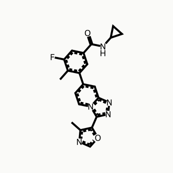 Cc1ncoc1-c1nnc2cc(-c3cc(C(=O)NC4CC4)cc(F)c3C)ccn12